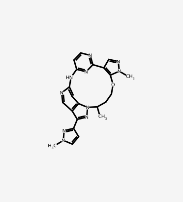 CC1CCOc2c(cnn2C)-c2nccc(n2)Nc2cc3c(cn2)c(-c2ccn(C)n2)nn31